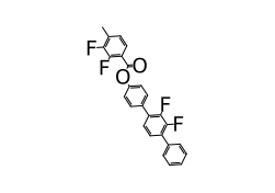 Cc1ccc(C(=O)Oc2ccc(-c3ccc(-c4ccccc4)c(F)c3F)cc2)c(F)c1F